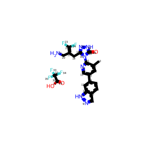 Cc1cc(-c2ccc3cn[nH]c3c2)cnc1-n1c(CC(CN)=C(F)F)n[nH]c1=O.O=C(O)C(F)(F)F